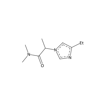 CCc1cn(C(C)C(=O)N(C)C)cn1